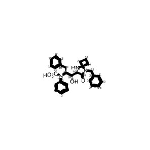 O=C(O)N(c1ccccc1)[C@@H](Cc1ccccc1)[C@@H](O)[C@@H]1NC2(CCC2)N(Cc2ccccc2)C1=O